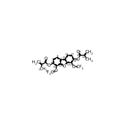 C=C(C)C(=O)Oc1ccc2c(oc3c(OC(F)(F)F)c(OC(=O)C(=C)C)ccc32)c1OC(F)(F)F